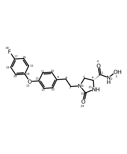 O=C(NO)[C@H]1CN(CCc2ccc(Oc3ccc(F)cc3)cc2)C(=O)N1